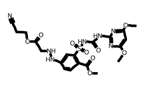 COC(=O)c1ccc(NNCC(=O)OCCC#N)cc1S(=O)(=O)NC(=O)Nc1nc(OC)cc(OC)n1